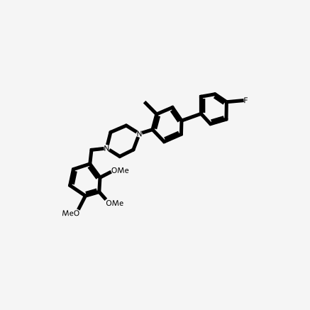 COc1ccc(CN2CCN(c3ccc(-c4ccc(F)cc4)cc3C)CC2)c(OC)c1OC